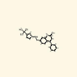 CCC(O)(CC)c1ccn(NCc2ccc3c(-c4ccccc4)cc(=O)oc3c2)n1